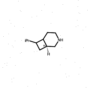 CC(C)C1C[C@@H]2CNCCC12